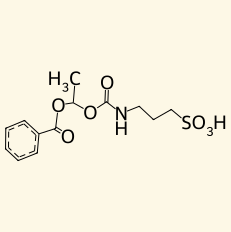 CC(OC(=O)NCCCS(=O)(=O)O)OC(=O)c1ccccc1